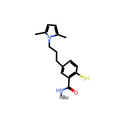 CCCCNC(=O)c1cc(CCCn2c(C)ccc2C)ccc1S